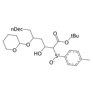 CCCCCCCCCCCC(CC(O)C(C(=O)OC(C)(C)C)[S+]([O-])c1ccc(C)cc1)OC1CCCCO1